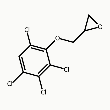 Clc1cc(Cl)c(OCC2CO2)c(Cl)c1Cl